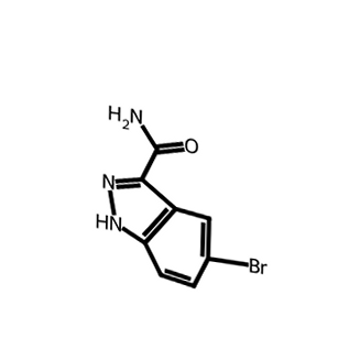 NC(=O)c1n[nH]c2ccc(Br)cc12